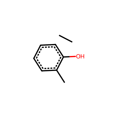 CC.Cc1ccccc1O